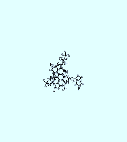 CCN(c1nc(OC[C@@]23CCCN2C[C@H](F)C3)nc2c(F)c(-c3ccc(F)c4sc(NC(=O)OC(C)(C)C)c(C#N)c34)c(C(F)(F)F)cc12)[C@H]1C[C@H](C)N(C(=O)OC(C)(C)C)C1